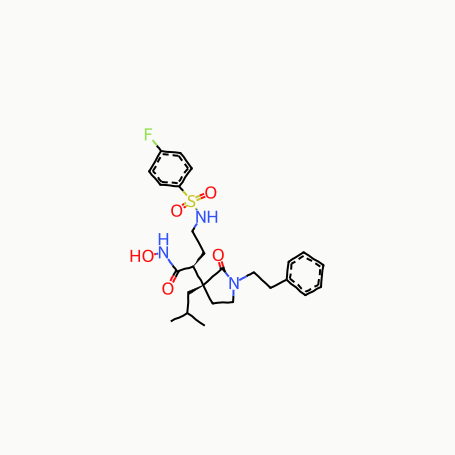 CC(C)C[C@]1([C@H](CCNS(=O)(=O)c2ccc(F)cc2)C(=O)NO)CCN(CCc2ccccc2)C1=O